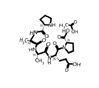 CC(=O)O.C[C@H](NC(=O)[C@H](C)NC(=O)[C@@H]1CCCN1)C(=O)N[C@@H](CCC(=O)O)C(=O)N1CCC[C@H]1C(=O)O